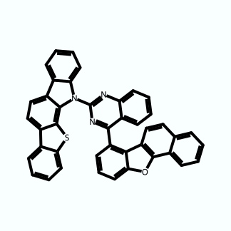 c1ccc2c(c1)ccc1c2oc2cccc(-c3nc(-n4c5ccccc5c5ccc6c7ccccc7sc6c54)nc4ccccc34)c21